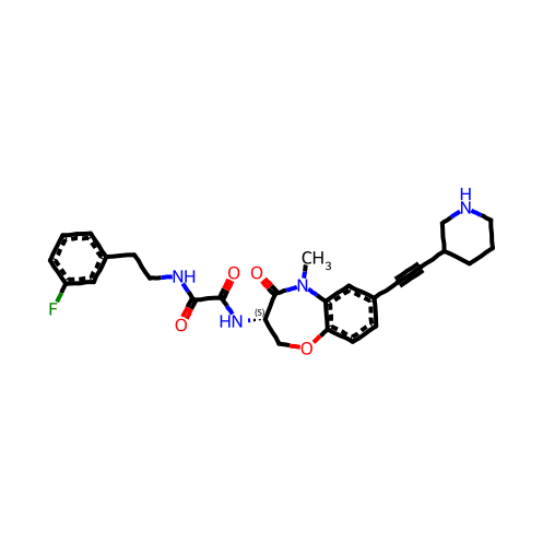 CN1C(=O)[C@@H](NC(=O)C(=O)NCCc2cccc(F)c2)COc2ccc(C#CC3CCCNC3)cc21